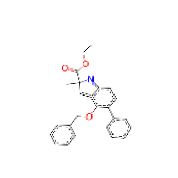 CCOC(=O)C1(C)C=c2c(OCc3ccccc3)c(-c3ccccc3)ccc2=N1